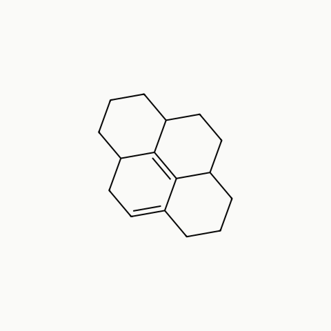 C1=C2CCCC3CCC4CCCC(C1)C4=C23